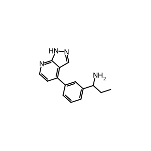 CCC(N)c1cccc(-c2ccnc3[nH]ncc23)c1